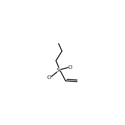 C=C[Si](Cl)(Cl)CCC